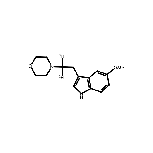 [2H]C([2H])(Cc1c[nH]c2ccc(OC)cc12)N1CCOCC1